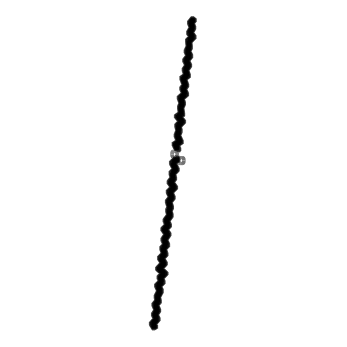 CCCCCCCCCCCCCCCCCCCCCCCCCCCCCCCCCCCCC(=O)OCCCCCCCCCCCCCCCCCCCCCCCCCCCCC